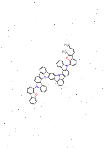 C=C/C=C\c1c(C)oc2c(-n3c4ccccc4c4c3ccc3c5cccc6c7cc8c(cc7n(c65)c34)c3cccc4c5ccc6c(c7ccccc7n6-c6cccc7c6oc6ccccc67)c5n8c34)cccc12